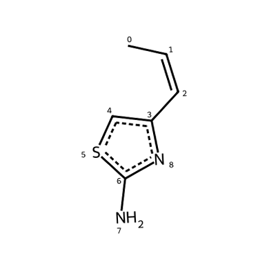 C/C=C\c1csc(N)n1